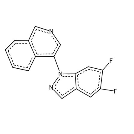 Fc1cc2cnn(-c3cncc4ccccc34)c2cc1F